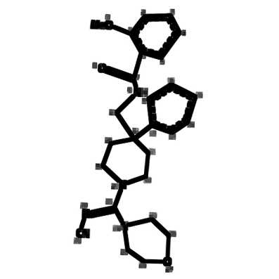 COc1ccccc1C(=O)NCC1(c2ccccc2)CCN(/C(=N/C#N)N2CCOCC2)CC1